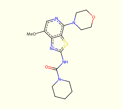 COc1cnc(N2CCOCC2)c2sc(NC(=O)N3CCCCC3)nc12